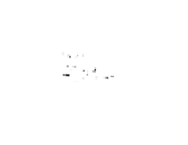 CCC1(C(=O)O)CN(C(=O)OC(C)(C)C)CCC1=O